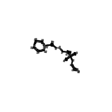 C=CCS(=O)(=O)NCCCOc1ccccc1